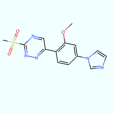 COc1cc(-n2ccnc2)ccc1-c1cnc(S(C)(=O)=O)nn1